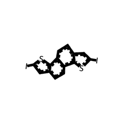 Ic1cc2ccc3c(ccc4cc(I)sc43)c2s1